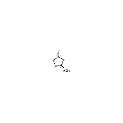 C[N+]1CCC(O)C1